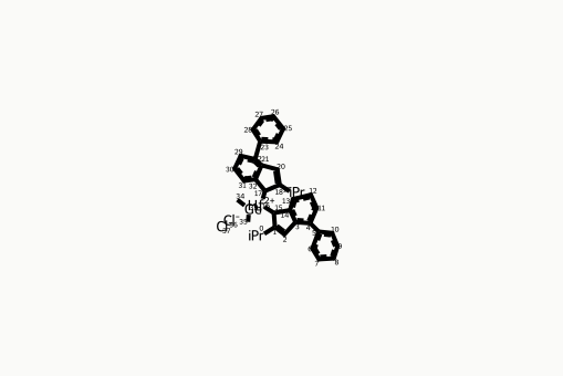 CC(C)C1=Cc2c(-c3ccccc3)cccc2[CH]1[Hf+2]([CH]1C(C(C)C)=Cc2c(-c3ccccc3)cccc21)=[Ge]([CH3])[CH3].[Cl-].[Cl-]